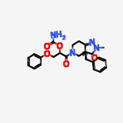 CN1N=C2CCN(C(=O)C(COc3ccccc3)OC(N)=O)C[C@@]2(Cc2ccccc2)C1=O